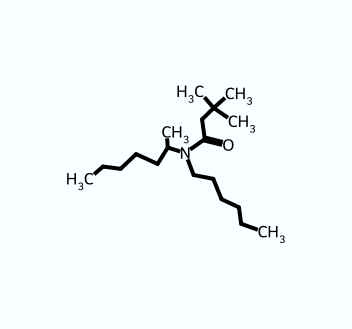 CCCCCCN(C(=O)CC(C)(C)C)C(C)CCCCC